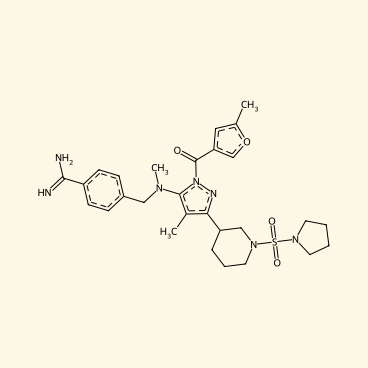 Cc1cc(C(=O)n2nc(C3CCCN(S(=O)(=O)N4CCCC4)C3)c(C)c2N(C)Cc2ccc(C(=N)N)cc2)co1